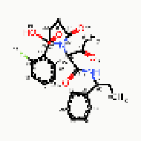 CC[C@H](NC(=O)[C@@](C(C)=O)(c1cccc(F)c1C(=O)O)N1CCCC1=O)c1ccccc1